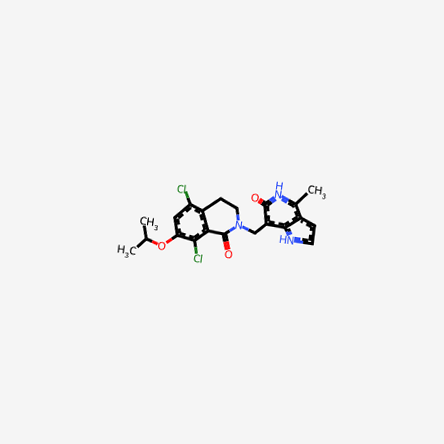 Cc1[nH]c(=O)c(CN2CCc3c(Cl)cc(OC(C)C)c(Cl)c3C2=O)c2[nH]ccc12